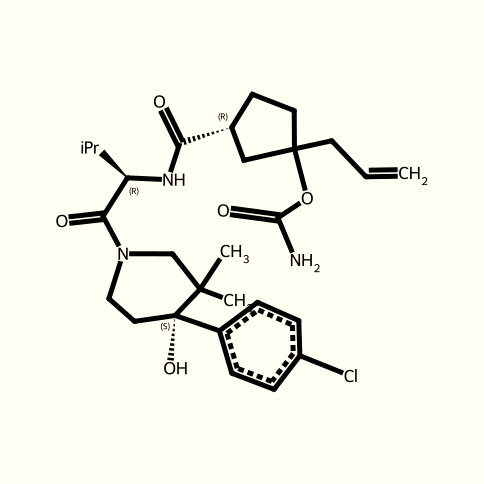 C=CCC1(OC(N)=O)CC[C@@H](C(=O)N[C@@H](C(=O)N2CC[C@](O)(c3ccc(Cl)cc3)C(C)(C)C2)C(C)C)C1